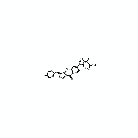 O=C(O)/C(Cl)=C(/Cl)C(=O)Nc1ccc2c(=O)n3c(nc2c1)C(=Cc1ccc(F)cc1)CC3